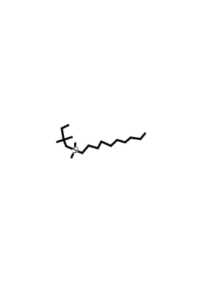 CCCCCCCCCC[Si](C)(C)CC(C)(C)CC